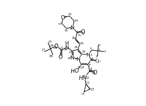 CC(C)(C)Cn1c(=O)c(C(=O)NC2CC2)c(O)n2nc(NC(=O)OC(C)(C)C)c(/C=C/C(=O)N3CCOCC3)c12